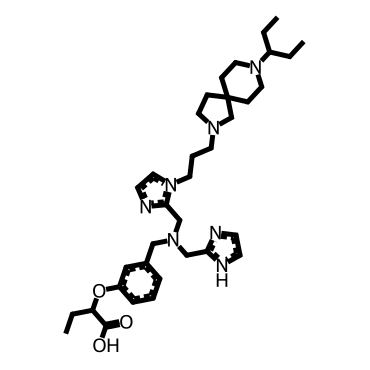 CCC(Oc1cccc(CN(Cc2ncc[nH]2)Cc2nccn2CCCN2CCC3(CCN(C(CC)CC)CC3)C2)c1)C(=O)O